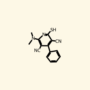 CN(C)c1nc(S)c(C#N)c(-c2ccccc2)c1C#N